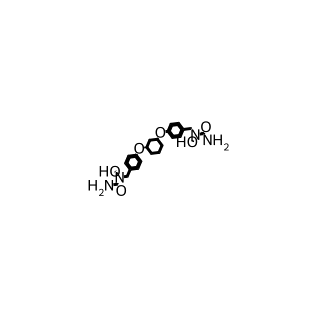 NC(=O)N(O)Cc1ccc(O[C@@H]2CCC[C@H](Oc3ccc(CN(O)C(N)=O)cc3)C2)cc1